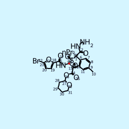 CCC[C@](C(=O)NN)(c1ccc(C)cc1[C@H](CNC(=O)c1ccc(Br)o1)C(=O)OC1CCCCO1)S(C)(=O)=O